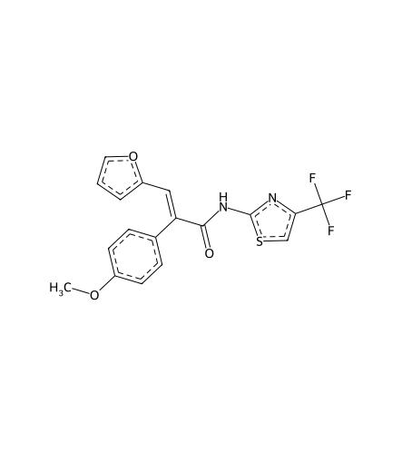 COc1ccc(/C(=C\c2ccco2)C(=O)Nc2nc(C(F)(F)F)cs2)cc1